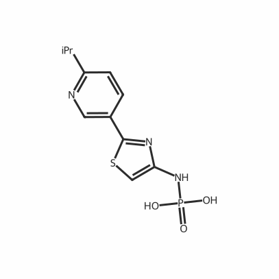 CC(C)c1ccc(-c2nc(NP(=O)(O)O)cs2)cn1